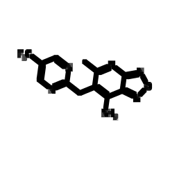 Cc1nc2nonc2c(N)c1Cc1ncc(C(F)(F)F)cn1